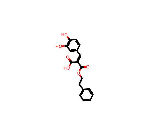 O=C(O)/C(=C\c1ccc(O)c(O)c1)C(=O)OCCc1ccccc1